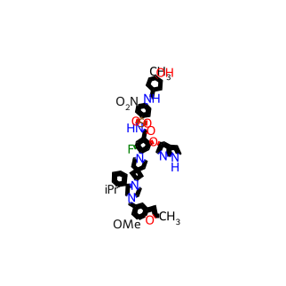 COc1cc(CN2CCN(C3CC4(CCN(c5cc(Oc6cnc7[nH]ccc7c6)c(C(=O)NS(=O)(=O)c6ccc(NCC7CCC(C)(O)CC7)c([N+](=O)[O-])c6)cc5F)CC4)C3)[C@H](c3ccccc3C(C)C)C2)cc2cc(C)oc12